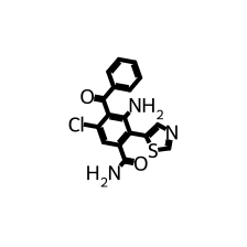 NC(=O)c1cc(Cl)c(C(=O)c2ccccc2)c(N)c1-c1cncs1